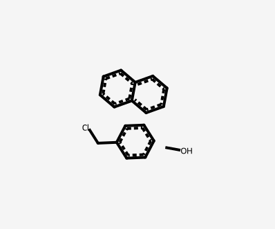 CO.ClCc1ccccc1.c1ccc2ccccc2c1